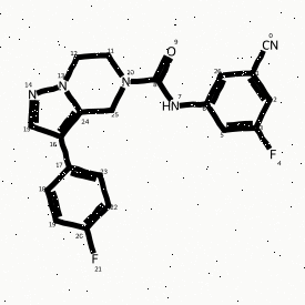 N#Cc1cc(F)cc(NC(=O)N2CCn3ncc(-c4ccc(F)cc4)c3C2)c1